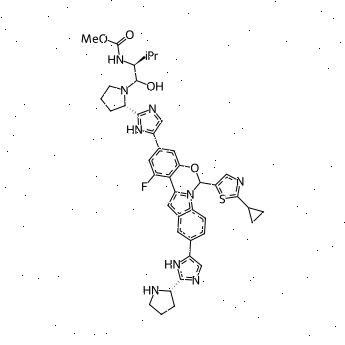 COC(=O)N[C@@H](C(C)C)C(O)N1CCC[C@H]1c1ncc(-c2cc(F)c3c(c2)OC(c2cnc(C4CC4)s2)n2c-3cc3cc(-c4cnc([C@@H]5CCCN5)[nH]4)ccc32)[nH]1